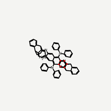 Nc1cc2c(N(c3ccccc3)c3ccccc3)c3nc4c(nc3c(N(c3ccccc3)c3ccccc3)c2cc1/N=C1\CCC2c3ccccc3C1c1ccccc12)C1c2ccccc2C4c2ccccc21